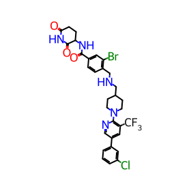 O=C1CCC(NC(=O)c2ccc(CNCC3CCN(c4ncc(-c5cccc(Cl)c5)cc4C(F)(F)F)CC3)c(Br)c2)C(=O)N1